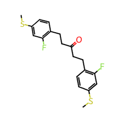 CSc1ccc(CCC(=O)CCc2ccc(SC)cc2F)c(F)c1